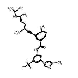 Cc1cn(-c2cc(NC(=O)c3ccc(C)c(C#C/C(N)=C/C=C(\N)NC(C)C)c3)cc(C(F)(F)F)c2)cn1